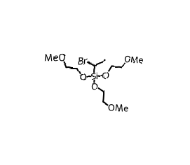 COCCO[Si](OCCOC)(OCCOC)C(C)Br